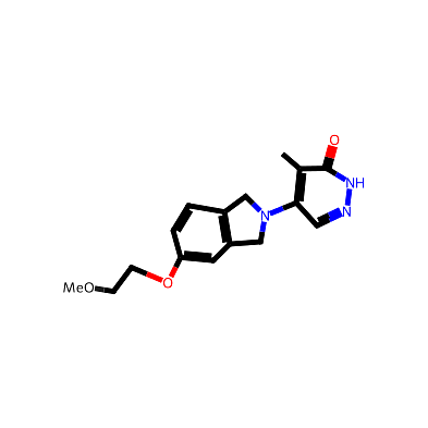 COCCOc1ccc2c(c1)CN(c1cn[nH]c(=O)c1C)C2